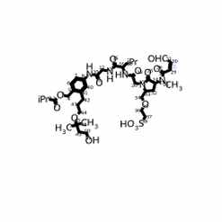 CC(C)C(=O)OCc1ccc(NC(=O)CNC(=O)C(NC(=O)CN2C(=O)C(N(C)C(=O)/C=C\C=O)CC2COCCS(=O)(=O)O)C(C)C)cc1CCCOC(C)(C)CCO